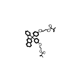 C=C(C)C(=O)OCCOc1ccc(C2(c3ccc(OCCOC(=O)C(=C)C)cc3)c3ccccc3-c3cc4ccccc4cc32)cc1